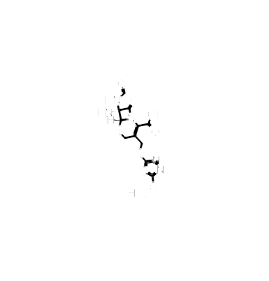 COc1nnc(SCC2=C(C(=O)O)N3C(=O)[C@](N)(NC=O)[C@H]3SC2)s1